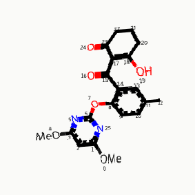 COc1cc(OC)nc(Oc2ccc(C)cc2C(=O)C2=C(O)CCCC2=O)n1